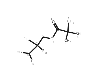 CC(C)(S)C(=O)OCC(F)(F)C(F)F